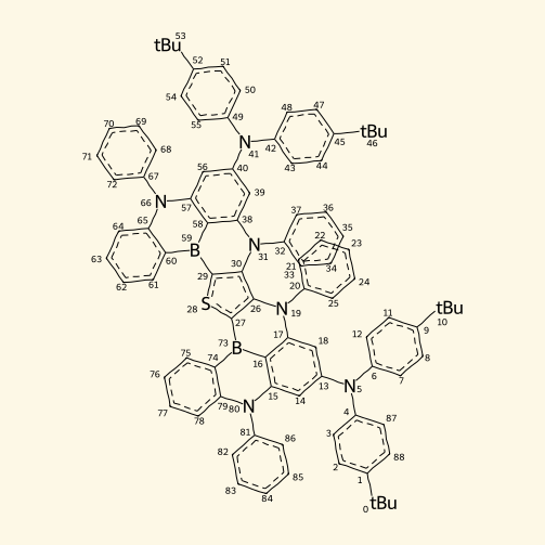 CC(C)(C)c1ccc(N(c2ccc(C(C)(C)C)cc2)c2cc3c4c(c2)N(c2ccccc2)c2c(sc5c2N(c2ccccc2)c2cc(N(c6ccc(C(C)(C)C)cc6)c6ccc(C(C)(C)C)cc6)cc6c2B5c2ccccc2N6c2ccccc2)B4c2ccccc2N3c2ccccc2)cc1